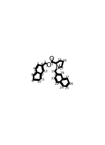 O=C(OCc1ccc2ccccc2c1)C1CCCN1Cc1ccc2ccccc2c1